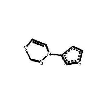 [c]1sccc1N1C=CSCS1